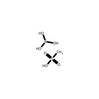 CS(=O)(=O)O.OB(O)O